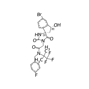 CC(C)(N(Cc1ccc(F)cc1)C(=O)CN1C(=O)N[C@]2(C[C@@H](O)c3cc(Br)ccc32)C1=O)C(F)(F)F